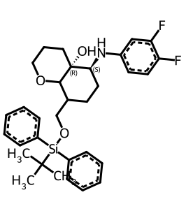 CC(C)(C)[Si](OCC1CC[C@H](Nc2ccc(F)c(F)c2)[C@]2(O)CCCOC12)(c1ccccc1)c1ccccc1